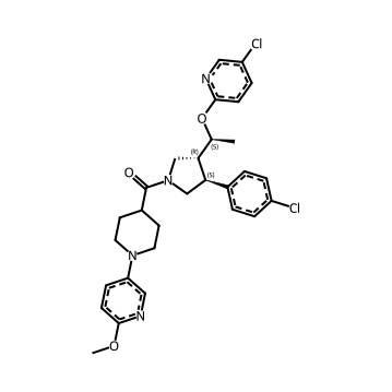 COc1ccc(N2CCC(C(=O)N3C[C@H]([C@H](C)Oc4ccc(Cl)cn4)[C@@H](c4ccc(Cl)cc4)C3)CC2)cn1